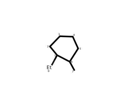 CCC1CCCC[C]1C